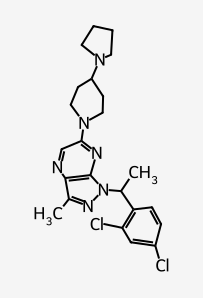 Cc1nn(C(C)c2ccc(Cl)cc2Cl)c2nc(N3CCC(N4CCCC4)CC3)cnc12